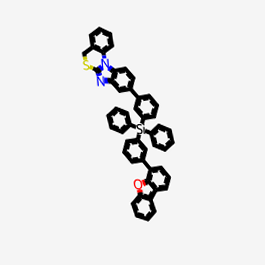 c1ccc([Si](c2ccccc2)(c2cccc(-c3ccc4c(c3)nc3n4-c4ccccc4CS3)c2)c2cccc(-c3cccc4c3oc3ccccc34)c2)cc1